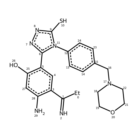 CCC(=N)c1cc(-c2nnc(S)n2-c2ccc(CN3CCOCC3)cc2)c(O)cc1N